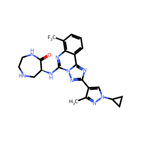 Cc1nn(C2CC2)cc1-c1nc2c3cccc(C(F)(F)F)c3nc(N[C@H]3CNCCNC3=O)n2n1